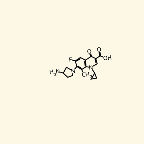 Cc1c(N2CCC(N)C2)c(F)cc2c(=O)c(C(=O)O)cn(C3CC3)c12